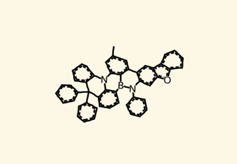 Cc1cc2c3c(c1)N1c4ccccc4C(c4ccccc4)(c4ccccc4)c4cccc(c41)B3N(c1ccccc1)c1cc3oc4ccccc4c3cc1-2